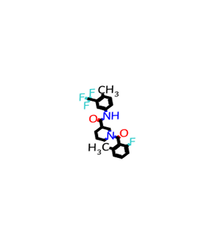 Cc1ccc(NC(=O)C2CCCN(C(=O)c3c(C)cccc3F)C2)cc1C(F)(F)F